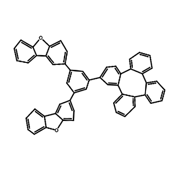 c1ccc2c(c1)-c1ccccc1-c1ccc(-c3cc(-c4ccc5oc6ccccc6c5c4)cc(-c4ccc5oc6ccccc6c5c4)c3)cc1-c1ccccc1-2